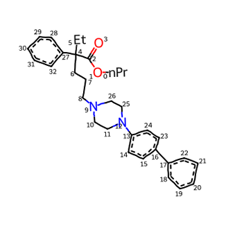 CCCOC(=O)C(CC)(CCCN1CCN(c2ccc(-c3ccccc3)cc2)CC1)c1ccccc1